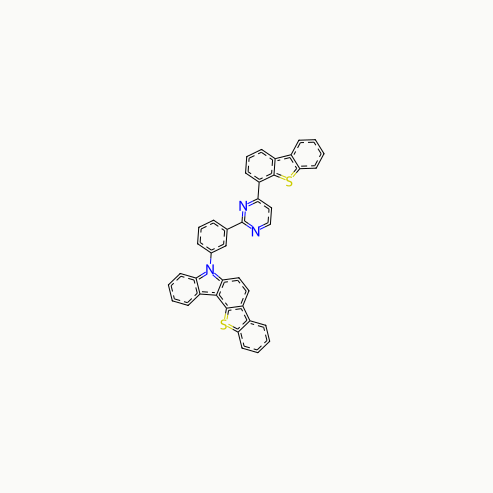 c1cc(-c2nccc(-c3cccc4c3sc3ccccc34)n2)cc(-n2c3ccccc3c3c4sc5ccccc5c4ccc32)c1